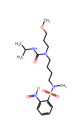 COC[CH]CN(CCCCN(C)S(=O)(=O)c1ccccc1[N+](=O)[O-])C(=O)NC(C)C